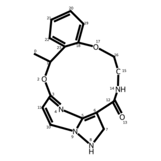 CC1OC2=NC3=C(CNN3C=C2)C(=O)NCCOc2ccccc21